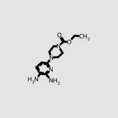 CCOC(=O)N1CCN(c2ccc(N)c(N)n2)CC1